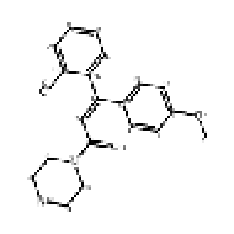 COc1ccc(/C(=C\C(=O)N2CCNCC2)c2ccccc2Cl)cc1